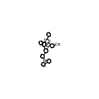 N#Cc1ccc(-n2c3ccccc3c3cc(-c4cccc(-n5c6ccccc6c6ccccc65)c4)ccc32)c(-c2nc(-c3ccccc3)nc(-c3ccccc3)n2)c1